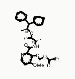 COc1ccnc(C(=O)N[C@@H](C)C(=O)O[C@@H](C)C(c2ccccc2)c2ccccc2)c1OCOC(=O)C(C)C